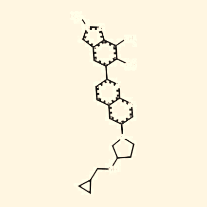 Cc1c(O)c(-c2ccc3cc(N4CCC(NCC5CC5)C4)cnc3n2)cc2cn(C)nc12